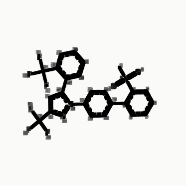 CS(=O)(=O)c1ccccc1-c1ccc(-n2nc(C(F)(F)F)cc2-c2ccccc2C(F)(F)F)cc1